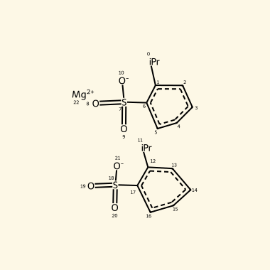 CC(C)c1ccccc1S(=O)(=O)[O-].CC(C)c1ccccc1S(=O)(=O)[O-].[Mg+2]